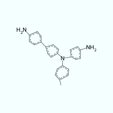 Cc1ccc(N(c2ccc(N)cc2)c2ccc(-c3ccc(N)cc3)cc2)cc1